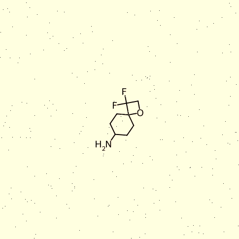 NC1CCC2(CC1)OCC2(F)F